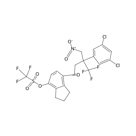 O=C(CC(C[N+](=O)[O-])(c1cc(Cl)cc(Cl)c1)C(F)(F)F)c1ccc(OS(=O)(=O)C(F)(F)F)c2c1CCC2